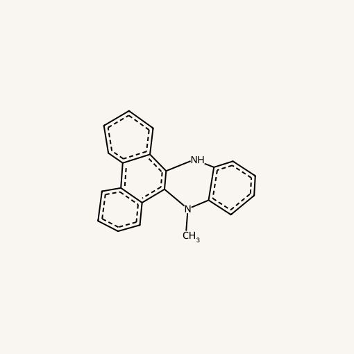 CN1c2ccccc2Nc2c1c1ccccc1c1ccccc21